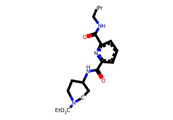 CCOC(=O)N1CCC(NC(=O)c2cccc(C(=O)NCC(C)C)n2)CC1